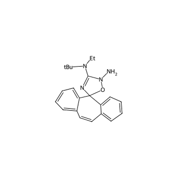 CCN(C1=NC2(ON1N)c1ccccc1C=Cc1ccccc12)C(C)(C)C